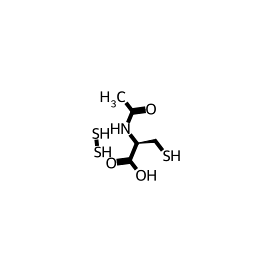 CC(=O)N[C@@H](CS)C(=O)O.SS